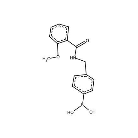 COc1ccccc1C(=O)NCc1ccc(B(O)O)cc1